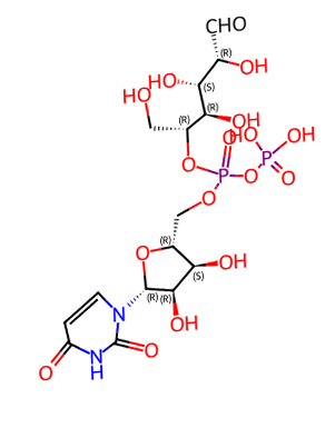 O=C[C@H](O)[C@@H](O)[C@@H](O)[C@@H](CO)OP(=O)(OC[C@H]1O[C@@H](n2ccc(=O)[nH]c2=O)[C@H](O)[C@@H]1O)OP(=O)(O)O